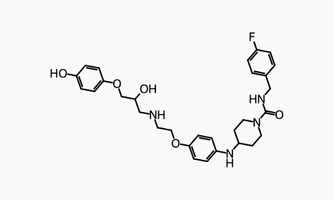 O=C(NCc1ccc(F)cc1)N1CCC(Nc2ccc(OCCNCC(O)COc3ccc(O)cc3)cc2)CC1